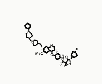 COc1cc2c(Oc3ccc(NC(=O)C4(C(=O)Nc5ccc(F)cc5)CC4)cc3F)ccnc2cc1OCC1CCN(CC2CCN(c3ccccc3)CC2)CC1